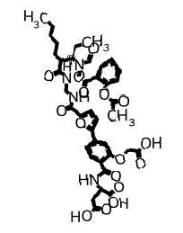 CCCCCC(C(=O)NCNC(=O)c1ccc(-c2ccc(C(=O)NC(CC(=O)O)C(=O)O)c(OCC(=O)O)c2)o1)[C@@H](CC)N(C=O)OC(=O)c1ccccc1OC(C)=O